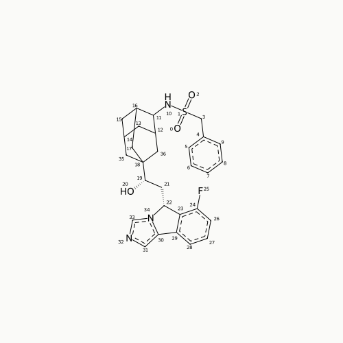 O=S(=O)(Cc1ccccc1)NC1C2CC3CC1CC([C@@H](O)C[C@@H]1c4c(F)cccc4-c4cncn41)(C3)C2